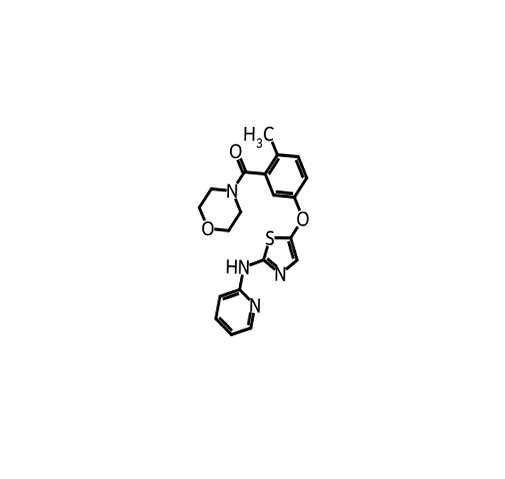 Cc1ccc(Oc2cnc(Nc3ccccn3)s2)cc1C(=O)N1CCOCC1